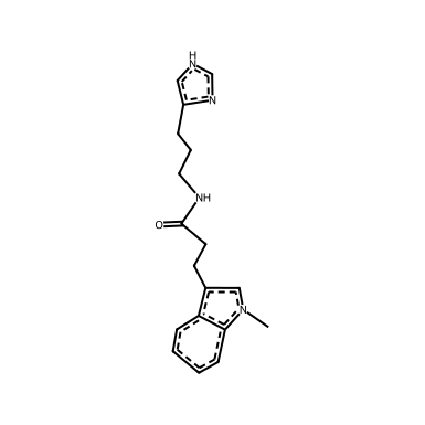 Cn1cc(CCC(=O)NCCCc2c[nH]cn2)c2ccccc21